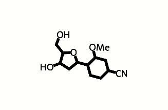 COC1CC(C#N)CCC1C1CC(O)C(CO)O1